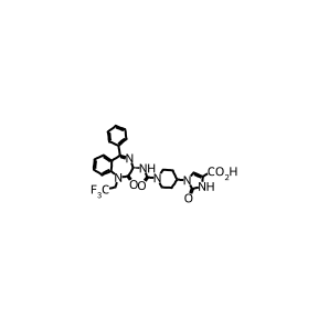 O=C(O)c1cn(C2CCN(C(=O)N[C@@H]3N=C(c4ccccc4)c4ccccc4N(CC(F)(F)F)C3=O)CC2)c(=O)[nH]1